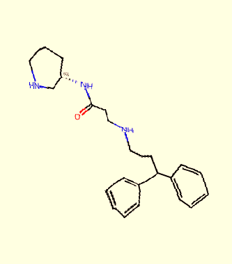 O=C(CCNCCC(c1ccccc1)c1ccccc1)N[C@H]1CCCNC1